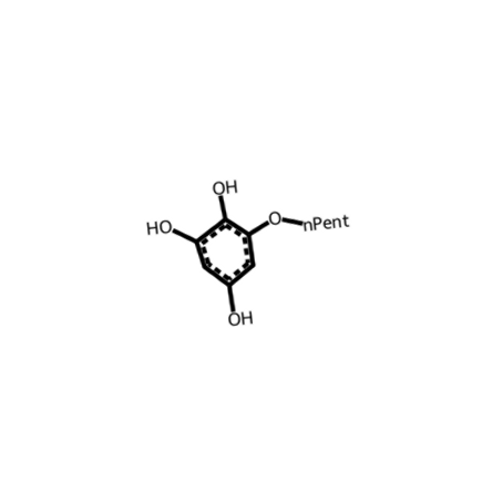 CCCCCOc1cc(O)cc(O)c1O